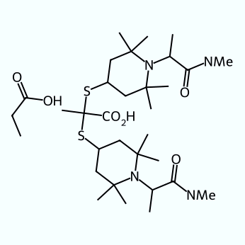 CCC(=O)O.CNC(=O)C(C)N1C(C)(C)CC(SC(C)(SC2CC(C)(C)N(C(C)C(=O)NC)C(C)(C)C2)C(=O)O)CC1(C)C